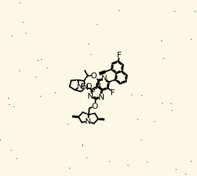 C#Cc1cc(F)cc2cccc(-c3nc4c5c(nc(OCC67CC(=C)CN6CC(=C)C7)nc5c3F)N3CC5CCC(C3C(C)O4)N5C(=O)O)c12